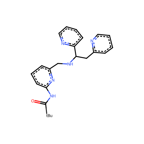 CC(C)(C)C(=O)Nc1cccc(CNC(Cc2ccccn2)c2ccccn2)n1